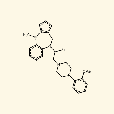 CCC(CN1CCN(c2ccccc2OC)CC1)N1Cc2cccn2N(C)c2ccncc21